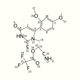 COc1ccc(-c2cc(=O)[nH]c(=S)n2C[C@H](CN)OC(=O)C(F)(F)F)c(OC)c1